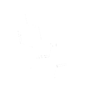 O=C(O)c1[nH]c2cc(F)ccc2c1F